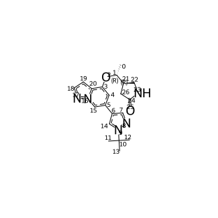 C[C@@H](Oc1cc(-c2cnn(C(C)(C)C)c2)cn2nccc12)[C@H]1CNC(=O)C1